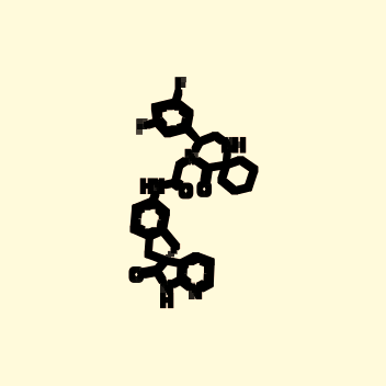 O=C(CN1C(=O)C2(CCCCC2)NC[C@@H]1c1cc(F)cc(F)c1)Nc1ccc2c(c1)C[C@@]1(C2)C(=O)Nc2ncccc21